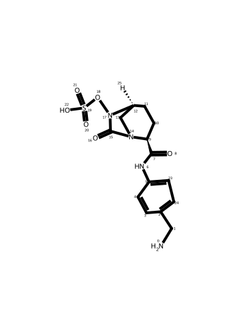 NCc1ccc(NC(=O)[C@@H]2CC[C@H]3CN2C(=O)N3OS(=O)(=O)O)cc1